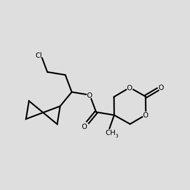 CC1(C(=O)OC(CCCl)C2CC23CC3)COC(=O)OC1